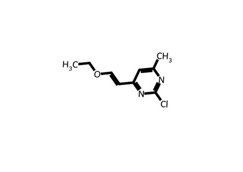 CCOC=Cc1cc(C)nc(Cl)n1